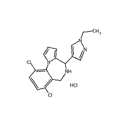 CCn1cc(C2NCc3c(Cl)ccc(Cl)c3-n3cccc32)cn1.Cl